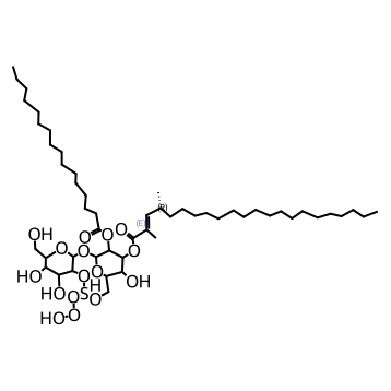 CCCCCCCCCCCCCCCCCC[C@@H](C)/C=C(\C)C(=O)OC1C(O)C(CO)OC(OC2OC(CO)C(O)C(O)C2OSOOO)C1OC(=O)CCCCCCCCCCCCCCC